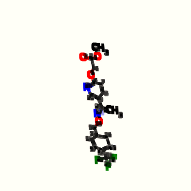 COC(=O)COc1ccc(/C(C)=N/OCc2ccc(C(F)(F)F)cc2)cn1